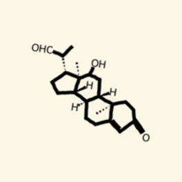 CC(C=O)[C@H]1CC[C@H]2[C@@H]3CCC4=CC(=O)CC[C@]4(C)[C@H]3CC(O)[C@]12C